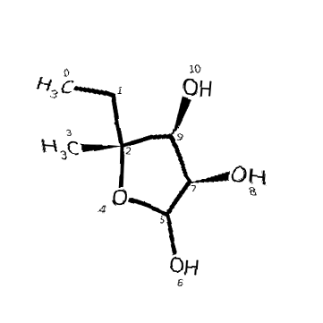 CC[C@@]1(C)OC(O)[C@H](O)[C@@H]1O